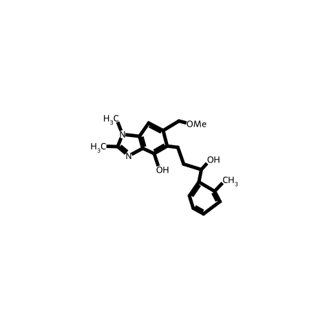 COCc1cc2c(nc(C)n2C)c(O)c1CCC(O)c1ccccc1C